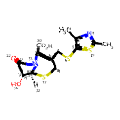 Cc1nc(C)c(SCC2=C(C(=O)O)N3C(=O)[C@@H](O)[C@@H]3SC2)s1